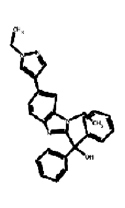 CCn1cc(-c2ccc3nc(C(O)(c4ccccc4)c4ccccc4)n(CC)c3c2)cn1